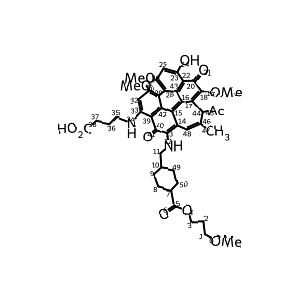 COCCCOC(=O)C1CCC(CNc2c3c4c5c(c(OC)c(=O)c6c(O)cc(OC)c(c7c(OC)cc(NCCCC(=O)O)c(c2=O)c74)c65)C(C(C)=O)C(C)=C3)CC1